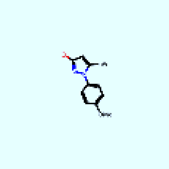 CCCc1cc(O)nn1-c1ccc(OC)cc1